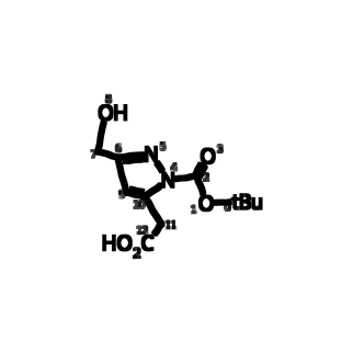 CC(C)(C)OC(=O)n1nc(CO)cc1CC(=O)O